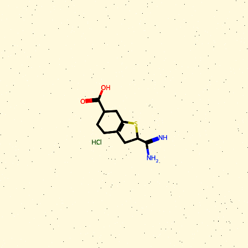 Cl.N=C(N)C1CC2=C(CC(C(=O)O)CC2)S1